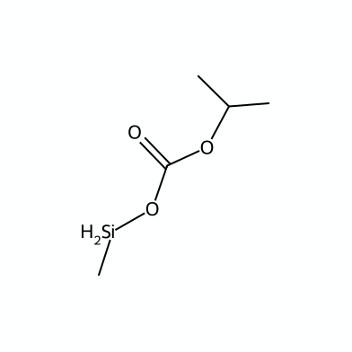 C[SiH2]OC(=O)OC(C)C